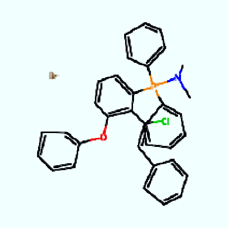 CN(C)[P+](c1ccccc1)(c1ccccc1)c1cccc(Oc2ccccc2)c1C(Cl)=Cc1ccccc1.[Br-]